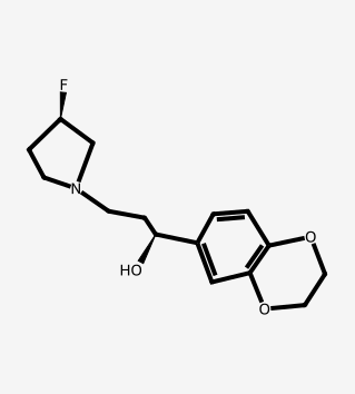 O[C@@H](CCN1CC[C@@H](F)C1)c1ccc2c(c1)OCCO2